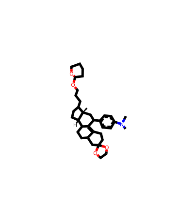 CN(C)c1ccc(C2C[C@@]3(C)C(CCCOC4CCCCO4)CC[C@H]3C3CCC4CC5(CCC4=C23)OCCO5)cc1